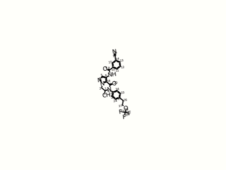 CC1Cn2ncc(NC(=O)c3cccc(C#N)c3)c2C(=O)N1c1ccc(CCOC(F)(F)F)cc1